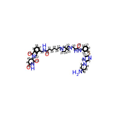 CC1(N)CCN(c2cnc(Sc3cccc(NC(=O)CCN4CC5(CCN(CCCCCC(=O)NCc6cccc7c6CN(C6CCC(=O)NC6=O)C7=O)C5)C4)c3)cn2)CC1